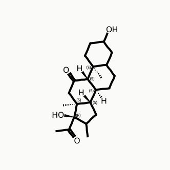 CC(=O)[C@@]1(O)C(C)C[C@H]2[C@@H]3CCC4CC(O)CC[C@]4(C)[C@H]3C(=O)C[C@@]21C